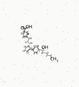 CCCCC[C@@H](O)c1ccc(C2=CCC[C@@H]2CCCc2ccc(C(=O)O)s2)cc1